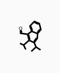 CC(C)c1cc2ccccc2c([C]=O)c1C(C)C